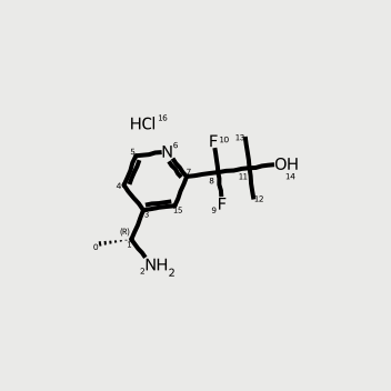 C[C@@H](N)c1ccnc(C(F)(F)C(C)(C)O)c1.Cl